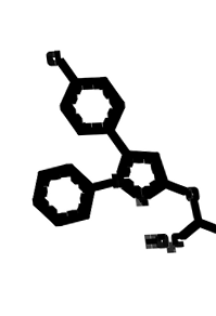 CCC(Oc1cc(-c2ccc(Cl)cc2)n(-c2ccccc2)n1)C(=O)O